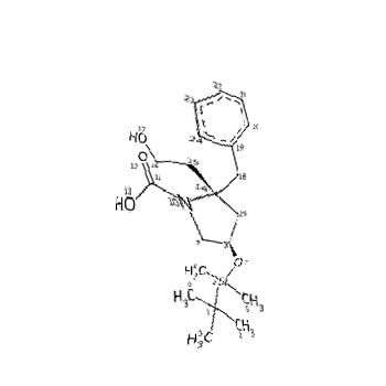 CC(C)(C)[Si](C)(C)O[C@H]1CN(C(=O)O)[C@](CCO)(Cc2ccccc2)C1